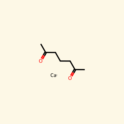 CC(=O)CCCC(C)=O.[Ca]